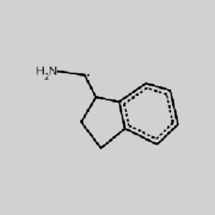 N[CH]C1CCc2ccccc21